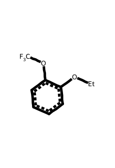 [CH2]COc1ccccc1OC(F)(F)F